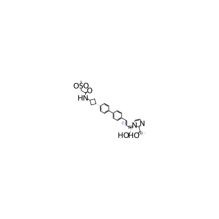 C[C@H](O)c1nccn1[C@@H](/C=C/c1ccc(-c2ccc([C@H]3C[C@H](NC(=O)CS(C)(=O)=O)C3)cc2)cc1)CO